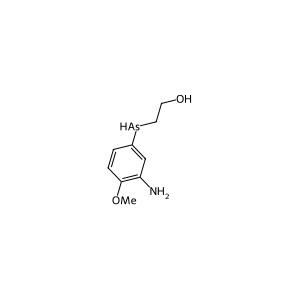 COc1ccc([AsH]CCO)cc1N